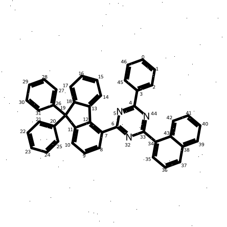 c1ccc(-c2nc(-c3cccc4c3-c3ccccc3C4(c3ccccc3)c3ccccc3)nc(-c3cccc4ccccc34)n2)cc1